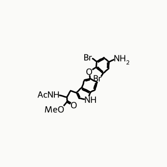 COC(=O)C(Cc1c[nH]c2ccc(Oc3c(Br)cc(N)cc3Br)cc12)NC(C)=O